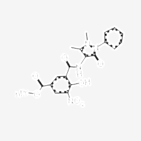 CCCOC(=O)c1cc(C(=O)Nc2c(C)n(C)n(-c3ccccc3)c2=O)c(O)c([N+](=O)[O-])c1